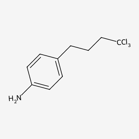 Nc1ccc(CCCC(Cl)(Cl)Cl)cc1